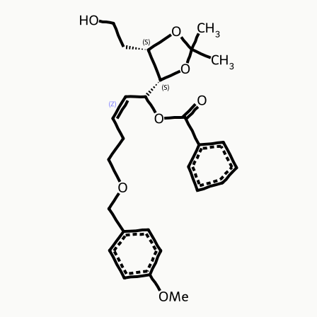 COc1ccc(COCC/C=C\C(OC(=O)c2ccccc2)[C@H]2OC(C)(C)O[C@H]2CCO)cc1